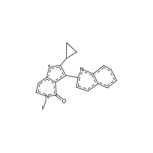 O=c1c2c(-c3ccc4ccccc4n3)c(C3CC3)sc2ccn1F